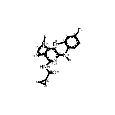 CCc1cc(F)ccc1N(C)c1cc2c(ncn2C)c(NC(=O)C2CC2)n1